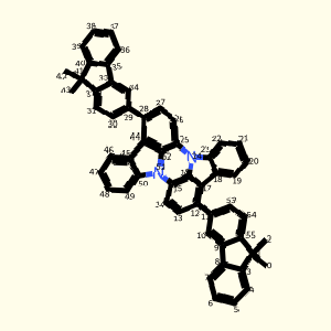 CC1(C)c2ccccc2-c2cc(-c3ccc4c5c3c3ccccc3n5c3ccc(-c5ccc6c(c5)-c5ccccc5C6(C)C)c5c6ccccc6n4c53)ccc21